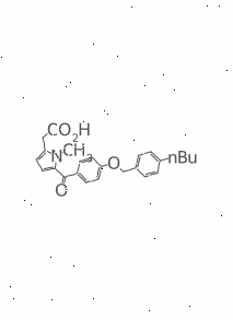 CCCCc1ccc(COc2ccc(C(=O)c3ccc(CC(=O)O)n3C)cc2)cc1